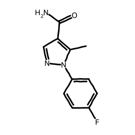 Cc1c(C(N)=O)cnn1-c1ccc(F)cc1